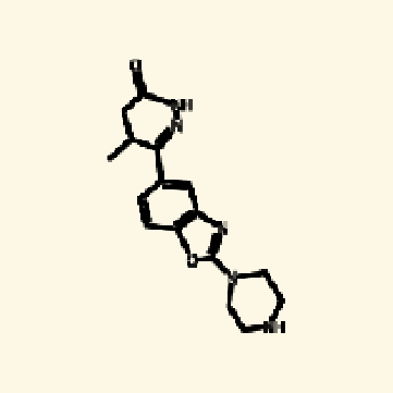 CC1CC(=O)NN=C1c1ccc2oc(N3CCNCC3)nc2c1